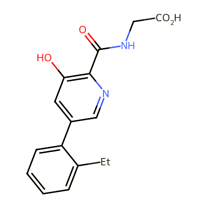 CCc1ccccc1-c1cnc(C(=O)NCC(=O)O)c(O)c1